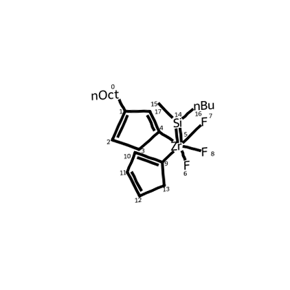 CCCCCCCCC1=CC[C]([Zr]([F])([F])([F])([C]2=CC=CC2)=[Si](C)CCCC)=C1